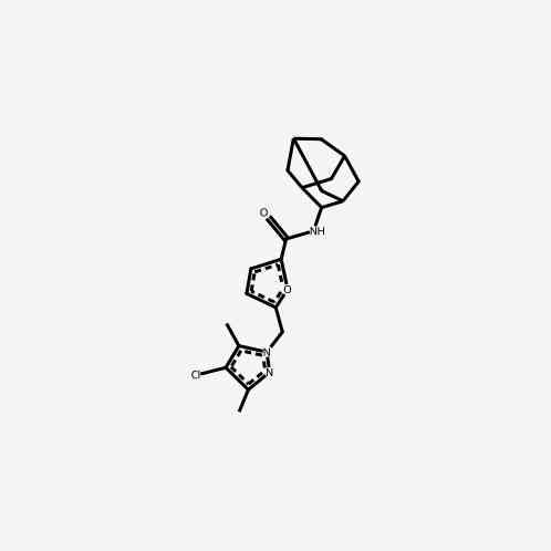 Cc1nn(Cc2ccc(C(=O)NC3C4CC5CC(C4)CC3C5)o2)c(C)c1Cl